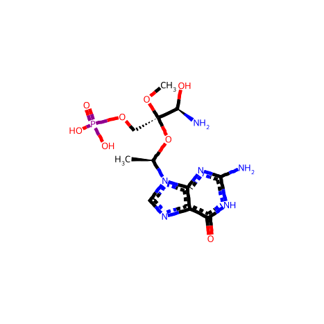 CO[C@](COP(=O)(O)O)(O[C@H](C)n1cnc2c(=O)[nH]c(N)nc21)[C@H](N)O